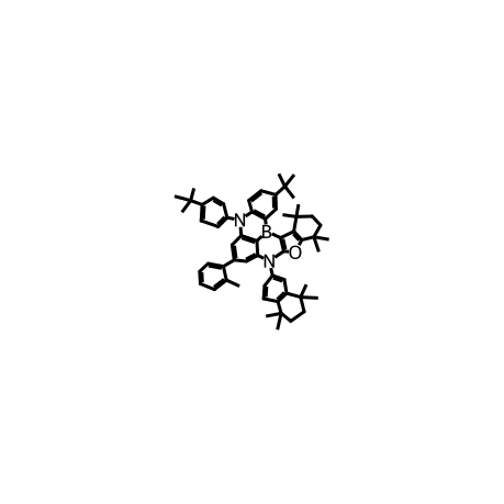 Cc1ccccc1-c1cc2c3c(c1)N(c1ccc4c(c1)C(C)(C)CCC4(C)C)c1oc4c(c1B3c1cc(C(C)(C)C)ccc1N2c1ccc(C(C)(C)C)cc1)C(C)(C)CCC4(C)C